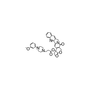 CCC1(OC(=O)CCN2CCN(c3cccc(OC)c3)CC2)C(=O)OCc2c1cc1n(c2=O)Cc2cc3ccccc3nc2-1